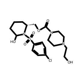 O=C(OC[C@H]1CCCC(O)N1S(=O)(=O)c1ccc(Cl)cc1)N1CCN(CCO)CC1